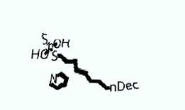 CCCCCCCCCCCCCCCCCCSP(O)(O)=S.c1ccncc1